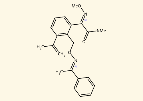 C=C(C)c1cccc(/C(=N\OC)C(=O)NC)c1CO/N=C(\C)c1ccccc1